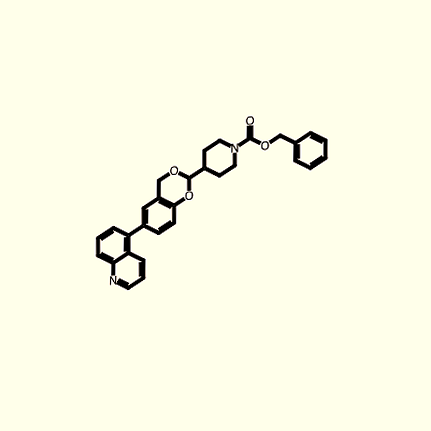 O=C(OCc1ccccc1)N1CCC(C2OCc3cc(-c4cccc5ncccc45)ccc3O2)CC1